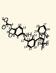 COC(=O)C[C@@H]1COc2cc(NCc3cccc(-c4c(C(F)(F)F)nc5ccccn45)c3C)ccc21